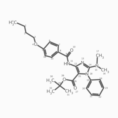 CCCCOc1ccc(C(=O)Nc2nc(N(C)C)n(-c3ccccc3)c2C(=O)OC(C)(C)C)cc1